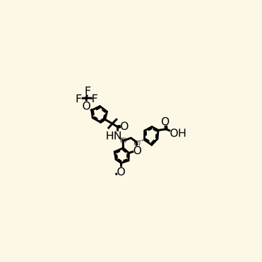 COc1ccc2c(c1)O[C@@H](c1ccc(C(=O)O)cc1)C[C@H]2NC(=O)C(C)(C)c1ccc(OC(F)(F)F)cc1